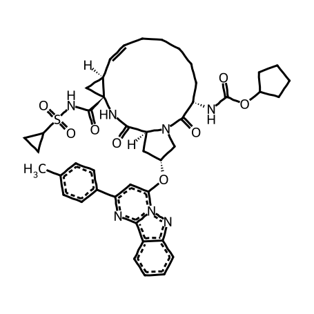 Cc1ccc(-c2cc(O[C@@H]3C[C@H]4C(=O)N[C@]5(C(=O)NS(=O)(=O)C6CC6)C[C@H]5/C=C\CCCCC[C@H](NC(=O)OC5CCCC5)C(=O)N4C3)n3nc4ccccc4c3n2)cc1